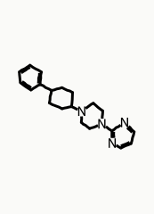 c1ccc(C2CCC(N3CCN(c4ncccn4)CC3)CC2)cc1